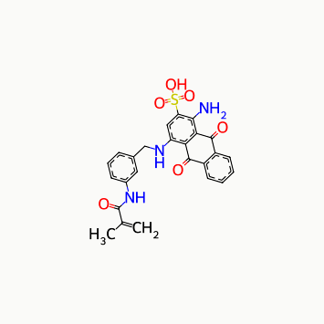 C=C(C)C(=O)Nc1cccc(CNc2cc(S(=O)(=O)O)c(N)c3c2C(=O)c2ccccc2C3=O)c1